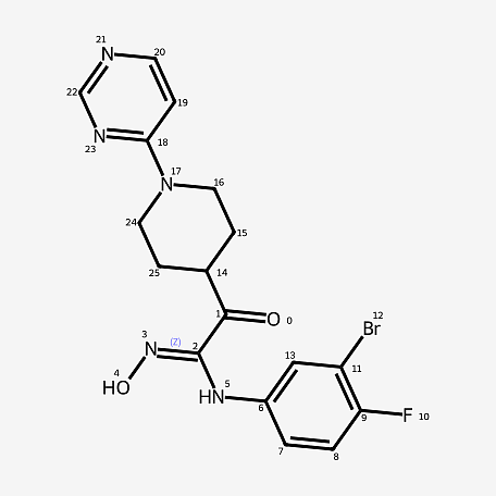 O=C(/C(=N/O)Nc1ccc(F)c(Br)c1)C1CCN(c2ccncn2)CC1